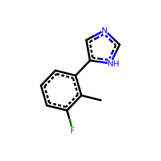 Cc1c(F)cccc1-c1cnc[nH]1